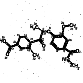 CNC(=O)c1ccc(O[C@@H](C)C(=O)N2CCN(C(=O)O)C[C@H]2C)c(OC)c1